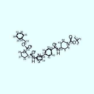 CC(C)(C)OC(=O)N1CCC(NC(=O)c2ccc(-c3csc(NC(=O)[C@@H]4CCCN4C(=O)OCc4ccccc4)n3)cc2)CC1